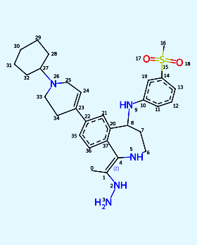 C/C(NN)=C1/NCCC(Nc2cccc(S(C)(=O)=O)c2)c2cc(C3=CCN(C4CCCCC4)CC3)ccc21